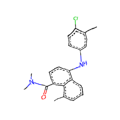 Cc1cc(Nc2ccc(C(=O)N(C)C)c3c(C)cccc23)ccc1Cl